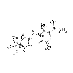 N=c1c(C(N)=O)cc(Cl)cn1CC1CC=C(C(F)(F)F)O1